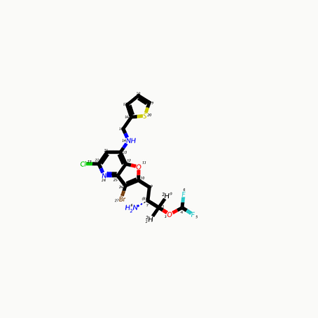 [2H]C([2H])(OC(F)F)[C@H](N)Cc1oc2c(NCc3cccs3)cc(Cl)nc2c1Br